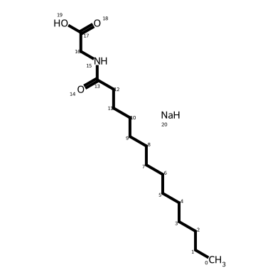 CCCCCCCCCCCCCC(=O)NCC(=O)O.[NaH]